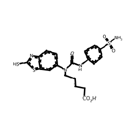 NS(=O)(=O)c1ccc(NC(=O)N(CCCCC(=O)O)c2ccc3nc(S)sc3c2)cc1